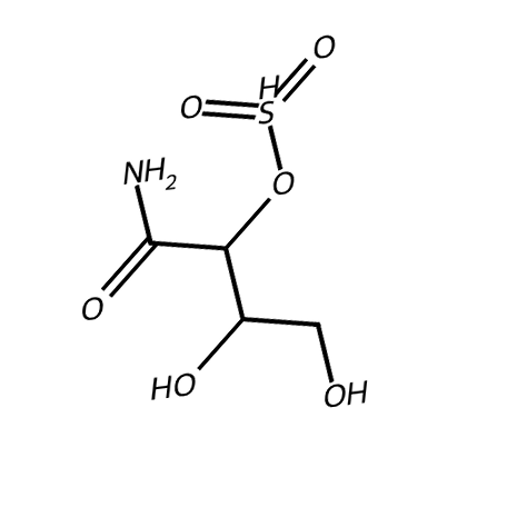 NC(=O)C(O[SH](=O)=O)C(O)CO